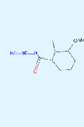 COC1CCCC(C(=O)N=[N+]=[N-])C1C